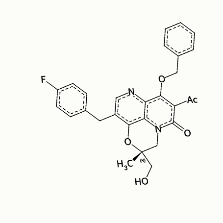 CC(=O)c1c(OCc2ccccc2)c2ncc(Cc3ccc(F)cc3)c3c2n(c1=O)C[C@](C)(CO)O3